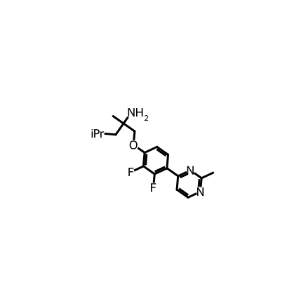 Cc1nccc(-c2ccc(OCC(C)(N)CC(C)C)c(F)c2F)n1